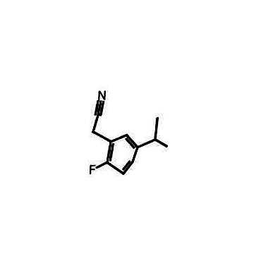 CC(C)c1ccc(F)c(CC#N)c1